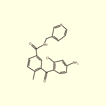 Cc1ccc(C(=O)NCc2cccnc2)cc1C(=O)c1ccc(N)cc1Cl